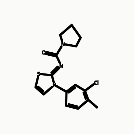 Cc1ccc(-n2ccsc2=NC(=O)N2CCCC2)cc1Cl